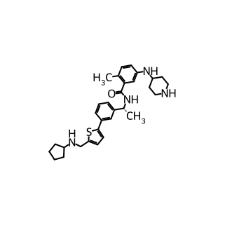 Cc1ccc(NC2CCNCC2)cc1C(=O)N[C@H](C)c1cccc(-c2ccc(CNC3CCCC3)s2)c1